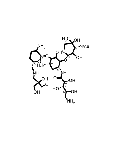 CN[C@@H]1C(O)[C@@H](OC2C(O)C(O[C@H]3O[C@H](CNCC(O)(CO)CO)CCC3N)[C@@H](N)C[C@H]2NC(=O)[C@@H](O)[C@@H](O)[C@@H](O)CN)OCC1(C)O